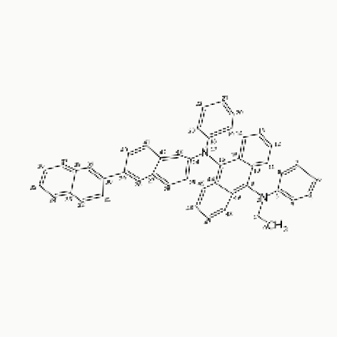 CCN(c1ccccc1)c1c2ccccc2c(N(c2ccccc2)c2ccc3cc(-c4ccc5ccccc5c4)ccc3c2)c2ccccc12